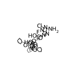 Nc1nc(Cl)nc2c1ncn2[C@@H]1O[C@H](COP(=O)(O)OP(=O)(Oc2ccccc2)N2CCCC2C(=O)OCc2ccccc2)[C@H](O)C1F